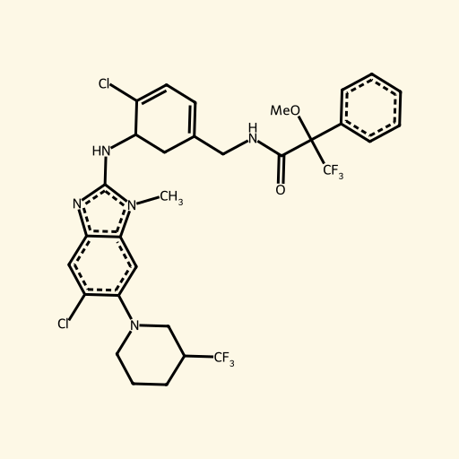 COC(C(=O)NCC1=CC=C(Cl)C(Nc2nc3cc(Cl)c(N4CCCC(C(F)(F)F)C4)cc3n2C)C1)(c1ccccc1)C(F)(F)F